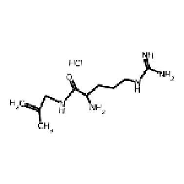 C=C(C)CNC(=O)C(N)CCCNC(=N)N.Cl